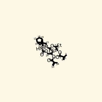 C=C(C)C(=O)OCC(CC)OC(=O)NCC1CC2CCC1C2CNC(=O)OCC(CC)OC(=O)C(=C)C